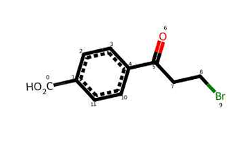 O=C(O)c1ccc(C(=O)CCBr)cc1